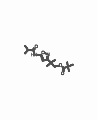 CC(C)C(=O)Nc1cc(C(C)(C)COC(=O)C(C)(C)C)no1